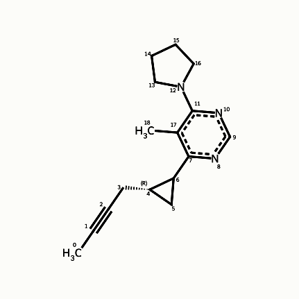 CC#CC[C@H]1CC1c1ncnc(N2CCCC2)c1C